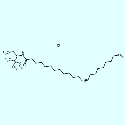 CCCCCCCC/C=C\CCCCCCCCCCCC(=O)NC(CC)[N+](C)(C)C.[Cl-]